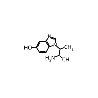 CC([C@@H](C)N)n1cnc2cc(O)ccc21